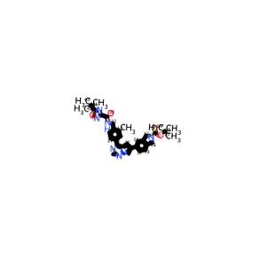 Cc1cc(-c2ncnn3cc(-c4ccc5c(c4)CN(C(=O)OC(C)(C)C)C5)cc23)ccc1CNC(=O)c1noc(C(C)(C)C)n1